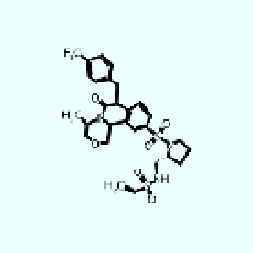 C=CS(=O)(=O)NC[C@H]1CCCN1S(=O)(=O)c1ccc2c(c1)C1COCC(C)N1C(=O)C2Cc1ccc(C(F)(F)F)cc1